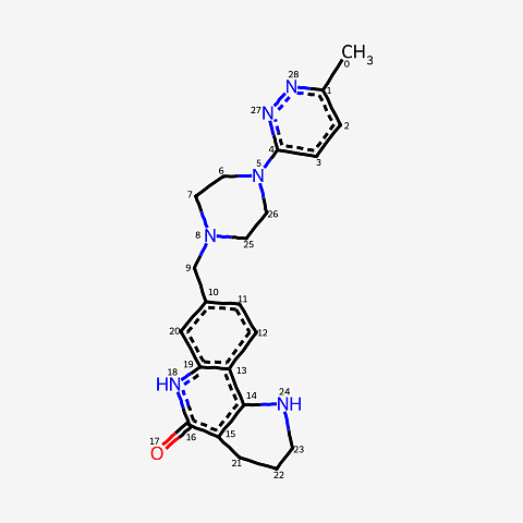 Cc1ccc(N2CCN(Cc3ccc4c5c(c(=O)[nH]c4c3)CCCN5)CC2)nn1